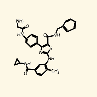 Cc1ccc(C(=O)NC2CC2)cc1Nc1nc(-c2ccc(NC(=O)CN)cc2)c(C(=O)NCc2ccccc2)s1